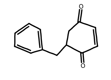 O=C1C=CC(=O)C(Cc2ccccc2)C1